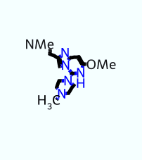 CNCc1cn2c(n1)C=C(OC)NC2N1CCN(C)CC1